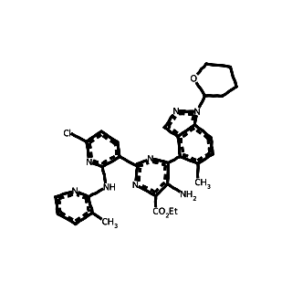 CCOC(=O)c1nc(-c2ccc(Cl)nc2Nc2ncccc2C)nc(-c2c(C)ccc3c2cnn3C2CCCCO2)c1N